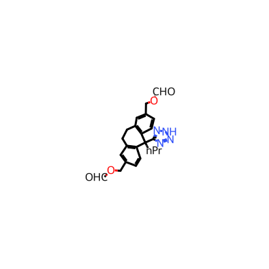 CCCC1(c2nn[nH]n2)c2ccc(COC=O)cc2CCc2cc(COC=O)ccc21